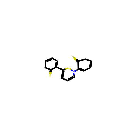 S=C1CC=CC=C1C1=CC=CN(C2=CC=CCC2=S)S1